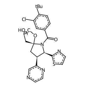 CC(C)C[C@]1(OC(=O)O)C[C@H](c2cnccn2)[C@H](c2nccs2)N1C(=O)c1ccc(C(C)(C)C)c(Cl)c1